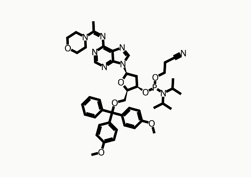 COc1ccc(C(OC[C@H]2O[C@@H](n3cnc4c(/N=C(/C)N5CCOCC5)ncnc43)C[C@H]2OP(OCCC#N)N(C(C)C)C(C)C)(c2ccccc2)c2ccc(OC)cc2)cc1